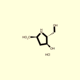 Cl.O=C(O)[C@@H]1C[C@H](O)[C@@H](CO)N1